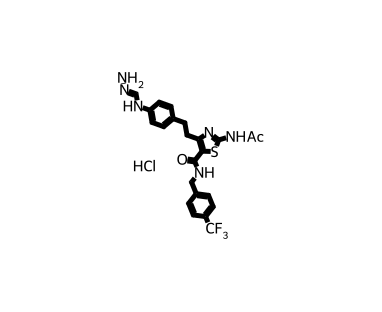 CC(=O)Nc1nc(CCc2ccc(NC=NN)cc2)c(C(=O)NCc2ccc(C(F)(F)F)cc2)s1.Cl